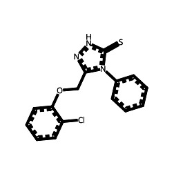 S=c1[nH]nc(COc2ccccc2Cl)n1-c1ccccc1